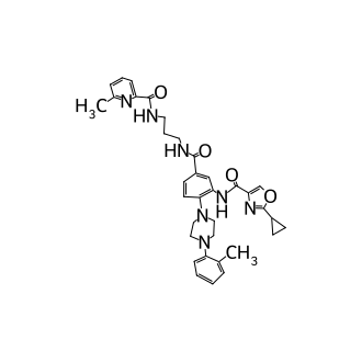 Cc1cccc(C(=O)NCCCNC(=O)c2ccc(N3CCN(c4ccccc4C)CC3)c(NC(=O)c3coc(C4CC4)n3)c2)n1